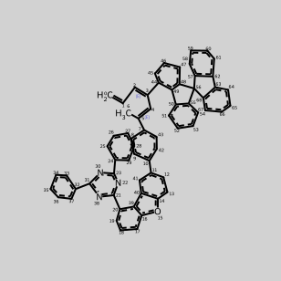 C=C/C=C(\C=C(/C)c1ccc(-c2ccc3oc4cccc(-c5nc(-c6ccccc6)nc(-c6ccccc6)n5)c4c3c2)cc1)c1cccc2c1-c1ccccc1C21c2ccccc2-c2ccccc21